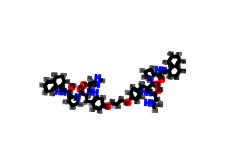 CN[C@@H](C)C(=O)NC(Cc1ccc(O/C=C/COc2ccc(C[C@H](NC(=O)[C@H](C)NC)C(=O)N3CCCC3C(=O)N[C@@H]3CCCc4ccccc43)cc2)cc1)C(=O)N1CCC[C@H]1C(=O)N[C@@H]1CCCc2ccccc21